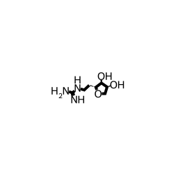 N=C(N)NCC[C@H]1OC[C@@H](O)[C@@H]1O